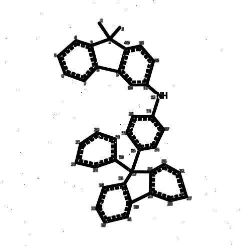 CC1(C)c2ccccc2-c2cc(Nc3ccc(C4(c5ccccc5)c5ccccc5-c5ccccc54)cc3)ccc21